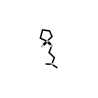 CN(C)CCN=S1(=O)CCCC1